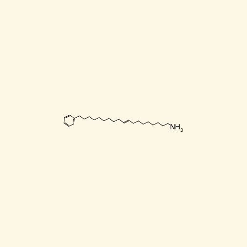 NCCCCCCCCC=CCCCCCCCCCc1ccccc1